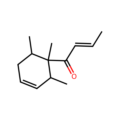 CC=CC(=O)C1(C)C(C)C=CCC1C